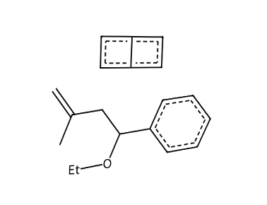 C=C(C)CC(OCC)c1ccccc1.c1cc2ccc1-2